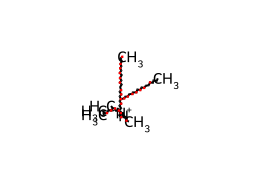 CCCCCCCCCCCCCCCCCCC(CCCCCCCCCCCCCCCCCC)CCCCC(CCC(C)CCCC(C)C)[n+]1ccn(CCC)c1